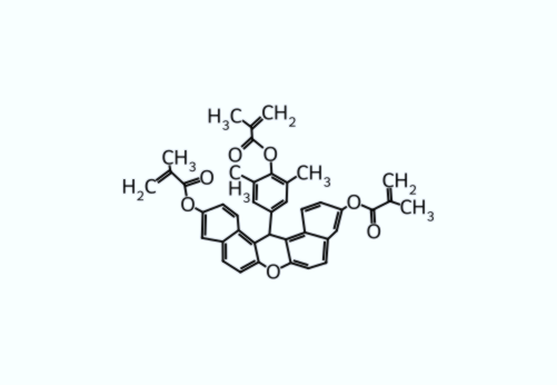 C=C(C)C(=O)Oc1ccc2c3c(ccc2c1)Oc1ccc2cc(OC(=O)C(=C)C)ccc2c1C3c1cc(C)c(OC(=O)C(=C)C)c(C)c1